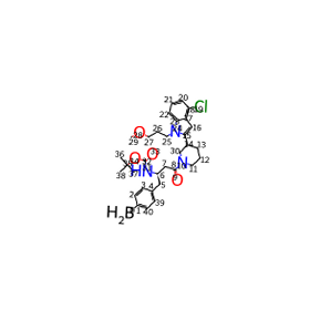 Bc1ccc(C[C@H](CC(=O)N2CCCC(c3cc4c(Cl)cccc4n3CCCOC)C2)NC(=O)OC(C)(C)C)cc1